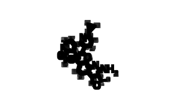 C[C@H]1OCc2c1c(N)nc1cc(CN(C(=O)c3ccc(C4CC4)nc3)c3cccnc3S(C)(=O)=O)ccc21